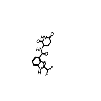 O=C1CCC(NC(=O)c2cccc3[nH]c(C(F)F)nc23)C(=O)N1